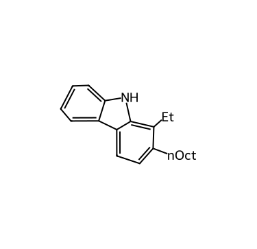 CCCCCCCCc1ccc2c([nH]c3ccccc32)c1CC